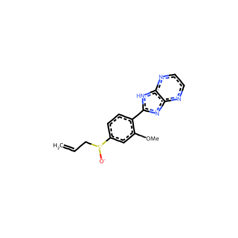 C=CC[S+]([O-])c1ccc(-c2nc3nccnc3[nH]2)c(OC)c1